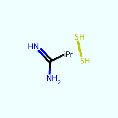 CC(C)C(=N)N.SS